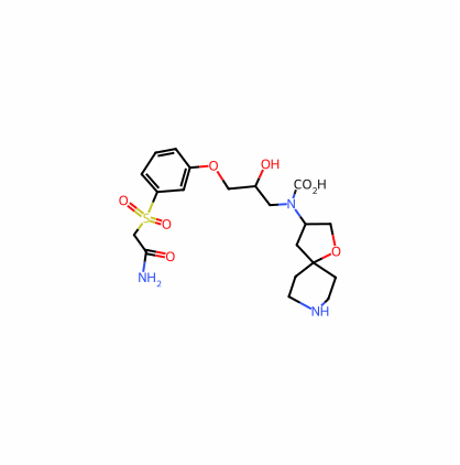 NC(=O)CS(=O)(=O)c1cccc(OCC(O)CN(C(=O)O)C2COC3(CCNCC3)C2)c1